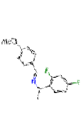 COc1ccc(C=NC(C)c2ccc(F)cc2F)cc1